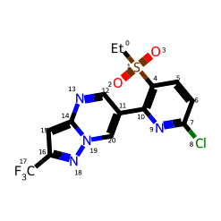 CCS(=O)(=O)c1ccc(Cl)nc1-c1cnc2cc(C(F)(F)F)nn2c1